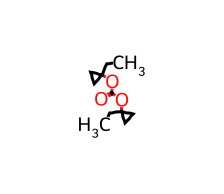 CCC1(OC(=O)OC2(CC)CC2)CC1